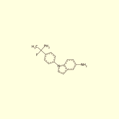 CC(F)(P)c1ccc(-n2ccc3cc(N)ccc32)cc1